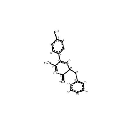 O=C1N=C(O)C(c2ccc(F)cc2)=NC1Cc1ccccc1